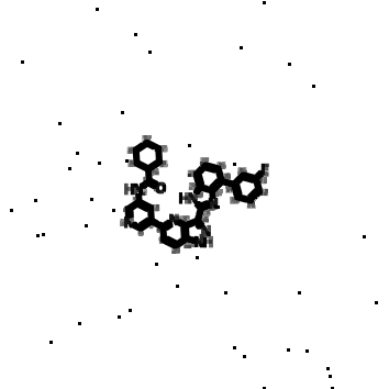 O=C(Nc1cncc(-c2ccc3[nH]nc(-c4nc5c(-c6cccc(F)c6)cccc5[nH]4)c3n2)c1)C1CCCCC1